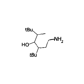 CC(C(O)C(CCN)C(C)(C)C)C(C)(C)C